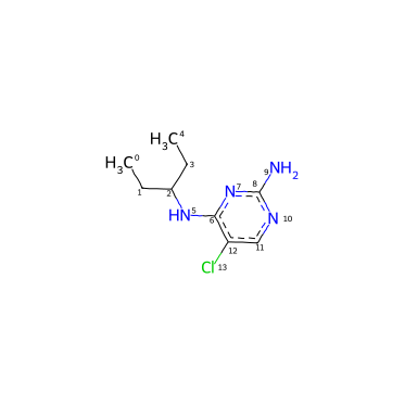 CCC(CC)Nc1nc(N)ncc1Cl